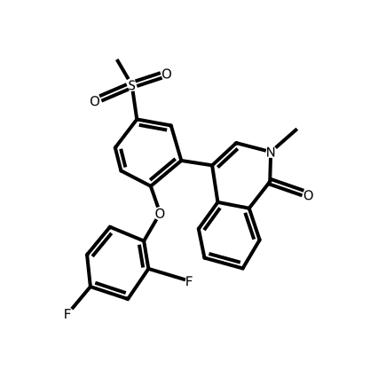 Cn1cc(-c2cc(S(C)(=O)=O)ccc2Oc2ccc(F)cc2F)c2ccccc2c1=O